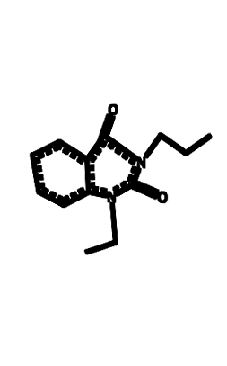 CCCn1c(=O)c2ccccc2n(CC)c1=O